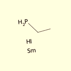 CCP.I.[Sm]